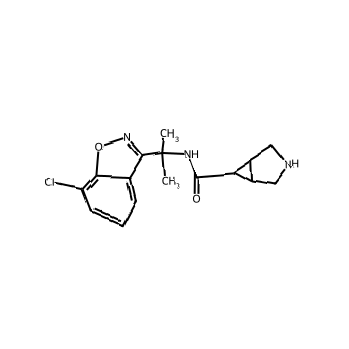 CC(C)(NC(=O)C1C2CNCC21)c1noc2c(Cl)cccc12